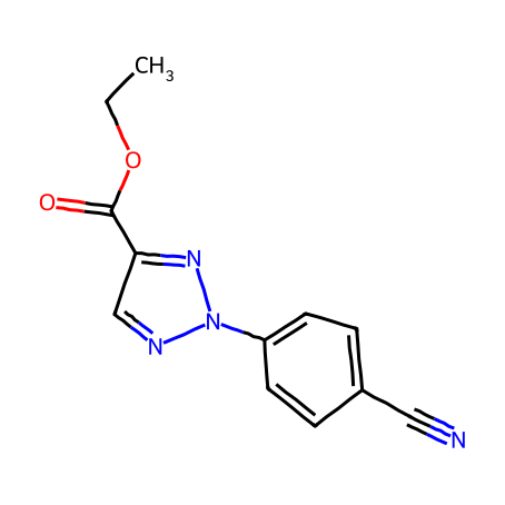 CCOC(=O)c1cnn(-c2ccc(C#N)cc2)n1